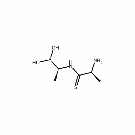 C[C@H](NC(=S)[C@H](C)N)B(O)O